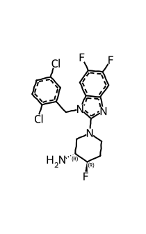 N[C@@H]1CN(c2nc3cc(F)c(F)cc3n2Cc2cc(Cl)ccc2Cl)CC[C@H]1F